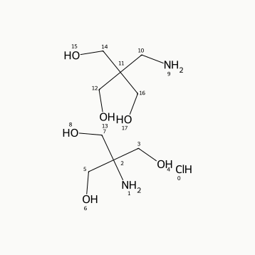 Cl.NC(CO)(CO)CO.NCC(CO)(CO)CO